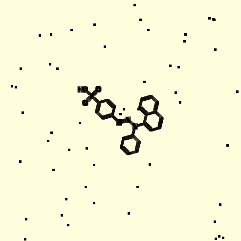 O=S(=O)(O)c1ccc(N=NN(c2ccccc2)c2cccc3ccccc23)cc1